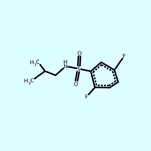 CC(C)CNS(=O)(=O)c1cc(F)ccc1F